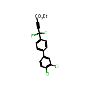 CCOC(=O)C#CC(F)(F)c1ccc(-c2ccc(Cl)c(Cl)c2)cc1